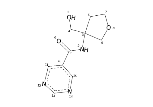 O=C(NC1(CO)CCOC1)c1cncnc1